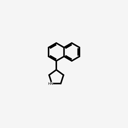 c1ccc2c(C3CCNC3)cccc2c1